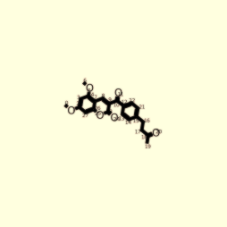 COc1cc(OC)c2cc(C(=O)c3ccc(CCC(C)=O)cc3)c(=O)oc2c1